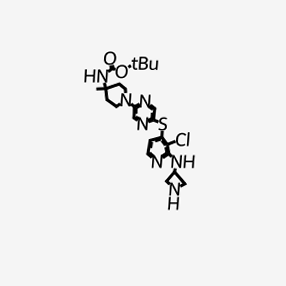 CC1(NC(=O)OC(C)(C)C)CCN(c2cnc(Sc3ccnc(NC4CNC4)c3Cl)cn2)CC1